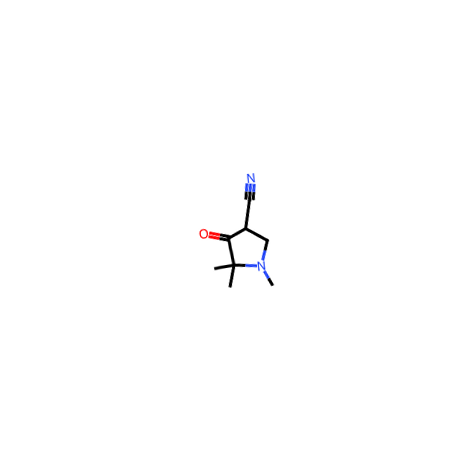 CN1CC(C#N)C(=O)C1(C)C